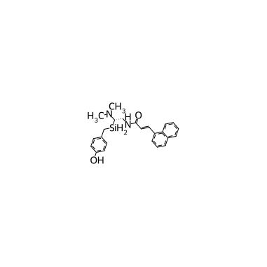 CN(C)[C@H](CNC(=O)/C=C/c1cccc2ccccc12)[SiH2]Cc1ccc(O)cc1